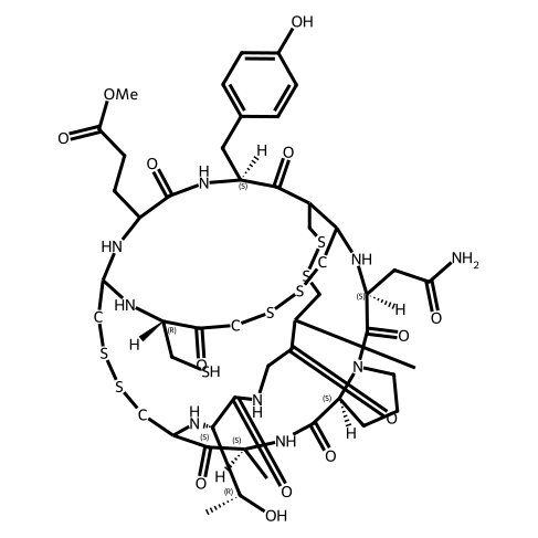 COC(=O)CCC1NC2CSSCC3N[C@@H]([C@@H](C)O)C(=O)NCC(=O)C(C)CSSCC(C(=O)[C@H](Cc4ccc(O)cc4)NC1=O)C(CSSCC(=O)[C@H](CS)N2)N[C@@H](CC(N)=O)C(=O)N1CCC[C@H]1C(=O)N[C@@H](C)C3=O